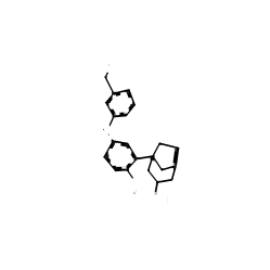 CCc1cccc(Nc2ccc(OC)c(C34CC=C(CC(C)C3)C4)c2)c1